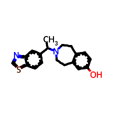 CC(c1ccc2scnc2c1)N1CCc2ccc(O)cc2CC1